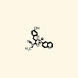 CCN(C#N)C(=O)C(Cc1ccc(O)cc1)NS(=O)(=O)c1ccc2ncccc2c1